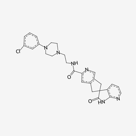 O=C(NCCN1CCN(c2cccc(Cl)c2)CC1)c1cc2c(cn1)CC1(C2)C(=O)Nc2ncccc21